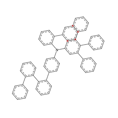 c1ccc(-c2ccccc2-c2ccccc2-c2ccc(N(c3cc(-c4ccccc4)c(-c4ccccc4)c(-c4ccccc4)c3)c3ccccc3-c3ccccc3)cc2)cc1